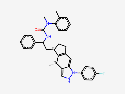 Cc1ccccc1N(C)C(=O)NC(C[C@H]1CCC2=C1[C@@H](C)C1=CNN(c3ccc(F)cc3)C1=C2)c1ccccc1